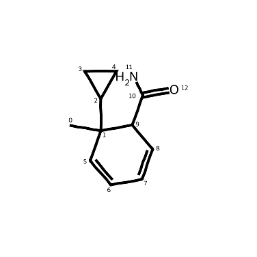 CC1(C2CC2)C=CC=CC1C(N)=O